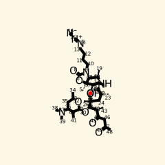 CC[C@@H](O)[C@@]1(C)OC(=O)N(CCCCN=[N+]=[N-])[C@@H]1[C@@H](C)NC[C@H](C)C[C@@](C)(OC)[C@H](O[C@@H]1OC(C)CC(N(C)C)C1C)[C@@H](C)C(=O)CC(C)=O